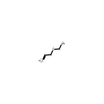 C=C[CH]OCCCC